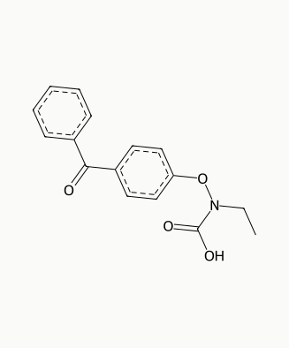 CCN(Oc1ccc(C(=O)c2ccccc2)cc1)C(=O)O